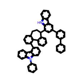 c1ccc(-c2cccc(-c3cc(C4CCc5cccc(-c6cccc7c6c6ccccc6n7-c6ccccc6)c5-c5ccccc54)c4[nH]c5ccccc5c4c3)c2)cc1